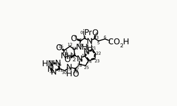 CC(C)C(NC(=O)CCC(=O)O)C(=O)NC(CC(N)=O)C(=O)N1c2ncccc2C[C@H]1C(=O)NCc1nn[nH]n1